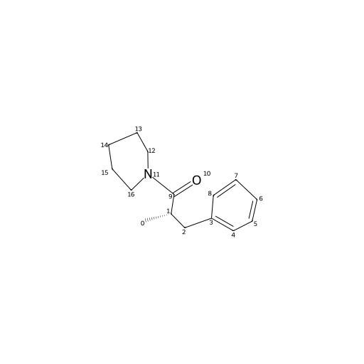 C[C@@H](Cc1ccccc1)C(=O)N1CCCCC1